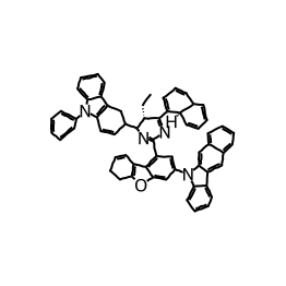 CC[C@@H]1C(C2=CC=CC3C=CC=C[C@@H]23)=NC(c2cc(-n3c4ccccc4c4cc5ccccc5cc43)cc3oc4c(c23)C=CCC4)=NC1C1C=Cc2c(c3ccccc3n2-c2ccccc2)C1